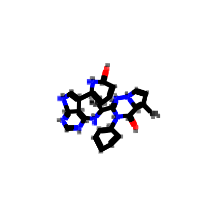 Cc1ccn2nc([C@H](C)Nc3ncnc4[nH]cc(-c5cccc(=O)[nH]5)c34)n(-c3ccccc3)c(=O)c12